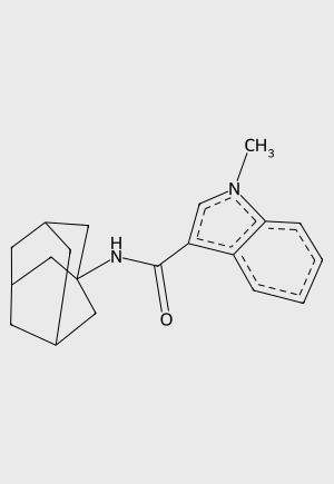 Cn1cc(C(=O)NC23CC4CC(CC(C4)C2)C3)c2ccccc21